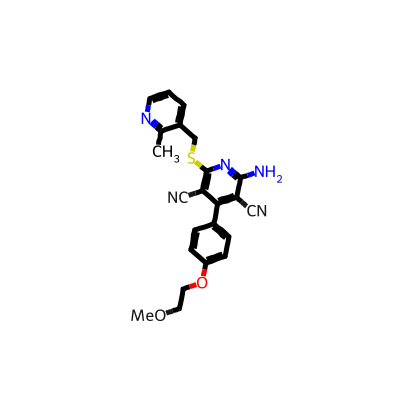 COCCOc1ccc(-c2c(C#N)c(N)nc(SCc3cccnc3C)c2C#N)cc1